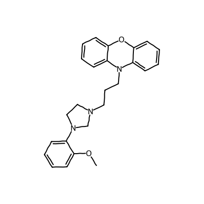 COc1ccccc1N1CCN(CCCN2c3ccccc3Oc3ccccc32)C1